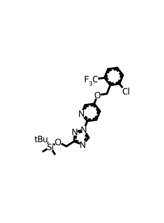 CC(C)(C)[Si](C)(C)OCc1ncn(-c2ccc(OCc3c(Cl)cccc3C(F)(F)F)cn2)n1